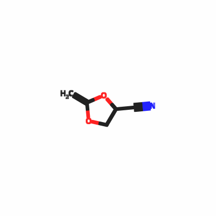 C=C1OCC(C#N)O1